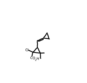 CC1(C)C(C=C2CC2)C1(Cl)C(=O)O